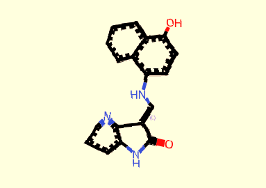 O=C1Nc2cccnc2/C1=C\Nc1ccc(O)c2ccccc12